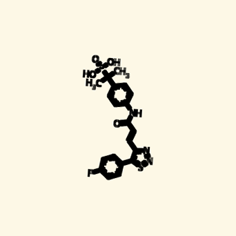 CC(C)(c1ccc(NC(=O)C=Cc2nnsc2-c2ccc(F)cc2)cc1)P(=O)(O)O